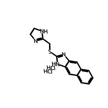 Cl.Cl.c1ccc2cc3[nH]c(SCC4=NCCN4)nc3cc2c1